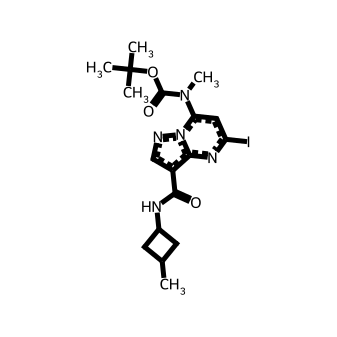 CC1CC(NC(=O)c2cnn3c(N(C)C(=O)OC(C)(C)C)cc(I)nc23)C1